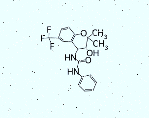 CC1(C)Oc2ccc(C(F)(F)F)cc2C(NC(=O)Nc2ccccc2)C1O